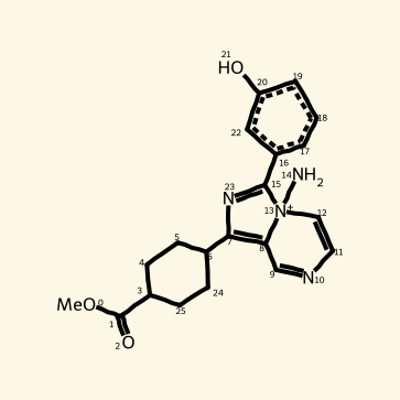 COC(=O)C1CCC(C2=C3C=NC=C[N+]3(N)C(c3cccc(O)c3)=N2)CC1